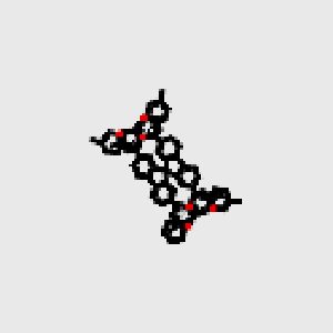 CC1=CC=C(N(c2ccccc2)c2ccc3c(c2)C2(C4=C(CCC(N(c5ccc(C)cc5)c5ccc(C)cc5)=C4)c4ccc(N(c5ccc(C)cc5)c5ccc(C)cc5)cc42)c2cc(N(c4ccccc4)c4ccc(C)cc4)ccc2-3)CC1